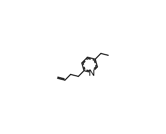 C=CCCc1ccc(CC)cn1